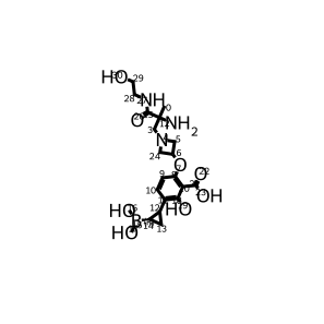 CC(N)(CN1CC(Oc2ccc(C3C[C@H]3B(O)O)c(O)c2C(=O)O)C1)C(=O)NCCO